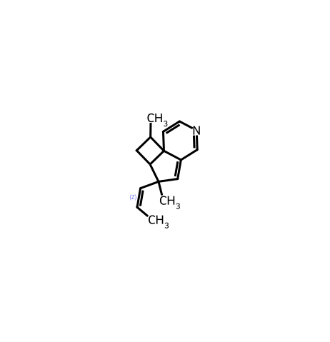 C/C=C\C1(C)C=C2C=NC=CC23C(C)CC13